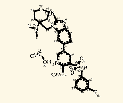 COc1ncc(-c2ccc3nc(N)n(CC4(N(C)C)CCOCC4)c3c2)cc1S(=O)(=O)Nc1cccc(F)c1.O=CO